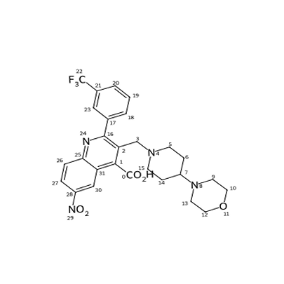 O=C(O)c1c(CN2CCC(N3CCOCC3)CC2)c(-c2cccc(C(F)(F)F)c2)nc2ccc([N+](=O)[O-])cc12